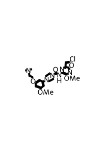 COc1cc(OCCN(C)C)cc(N2CCN(C(=O)Nc3nc4cc(Cl)oc4nc3OC)CC2)c1